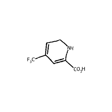 O=C(O)C1=CC(C(F)(F)F)=CCN1